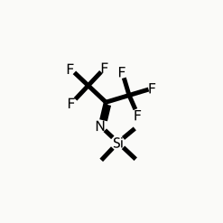 C[Si](C)(C)N=C(C(F)(F)F)C(F)(F)F